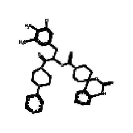 Cc1cc(C[C@@H](OC(=O)N2CCC3(CC2)OC(=O)Nc2ccccc23)C(=O)N2CCN(c3ccncc3)CC2)cc(Cl)c1N